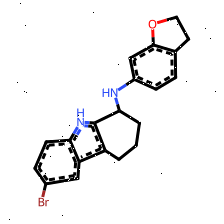 Brc1ccc2[nH]c3c(c2c1)CCCC3Nc1ccc2c(c1)OCC2